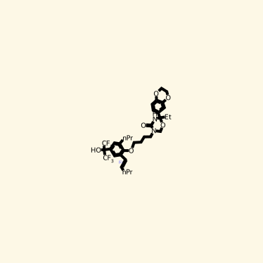 CCC/C=C/c1cc(C(O)(C(F)(F)F)C(F)(F)F)cc(CCC)c1OCCCCN1COC(CC)(c2ccc3c(c2)OCCO3)NC1=O